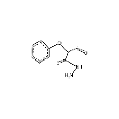 NNC(=O)C([C]=O)Oc1ccccc1